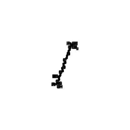 C=P(O)(OCCOCCOCCOCCOCC(O)COP(=O)(O)C(C)C)C(C)C